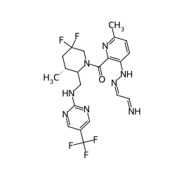 Cc1ccc(N/N=C\C=N)c(C(=O)N2CC(F)(F)C[C@@H](C)C2CNc2ncc(C(F)(F)F)cn2)n1